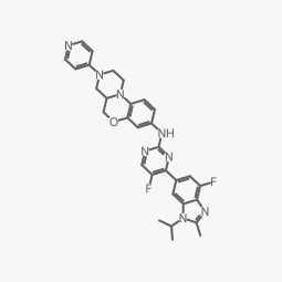 Cc1nc2c(F)cc(-c3nc(Nc4ccc5c(c4)OCC4CN(c6ccncc6)CCN54)ncc3F)cc2n1C(C)C